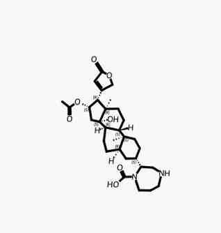 CC(=O)O[C@H]1C[C@]2(O)[C@@H]3CC[C@@H]4C[C@@H](C5CNCCCN5C(=O)O)CC[C@]4(C)[C@H]3CC[C@]2(C)[C@H]1C1=CC(=O)OC1